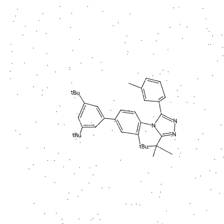 Cc1cccc(-c2nnc(C(C)(C)C(C)(C)C)n2-c2ccc(-c3cc(C(C)(C)C)cc(C(C)(C)C)c3)cc2C)c1